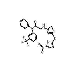 O=C(CNN1CSC(Sc2ncc([N+](=O)[O-])s2)=N1)N(c1ccccc1)c1cccc(C(F)(F)F)c1